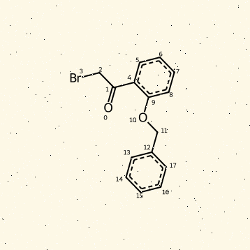 O=C(CBr)c1cc[c]cc1OCc1ccccc1